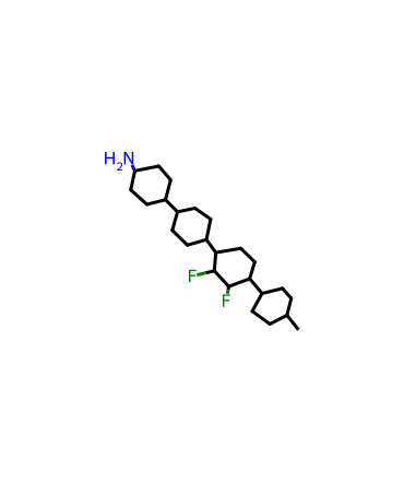 CC1CCC(C2CCC(C3CCC(C4CCC(N)CC4)CC3)C(F)C2F)CC1